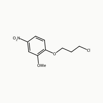 COc1cc([N+](=O)[O-])ccc1OCCCCl